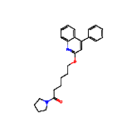 O=C(CCCCCOc1cc(-c2ccccc2)c2ccccc2n1)N1CCCC1